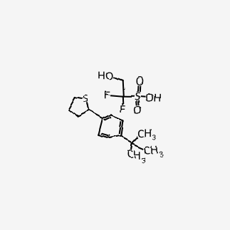 CC(C)(C)c1ccc(C2CCCS2)cc1.O=S(=O)(O)C(F)(F)CO